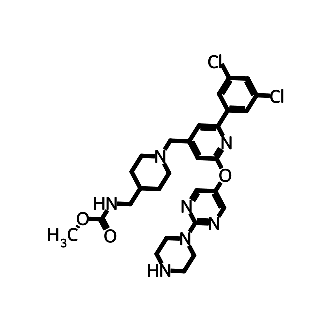 COC(=O)NCC1CCN(Cc2cc(Oc3cnc(N4CCNCC4)nc3)nc(-c3cc(Cl)cc(Cl)c3)c2)CC1